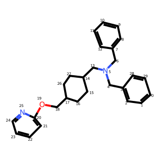 c1ccc(CN(Cc2ccccc2)CC2CCC(COc3ccccn3)CC2)cc1